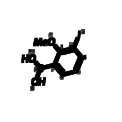 COc1c(I)cccc1B(O)O